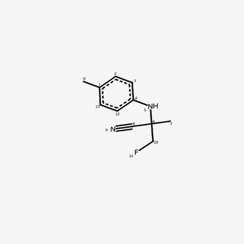 Cc1ccc(NC(C)(C#N)CF)cc1